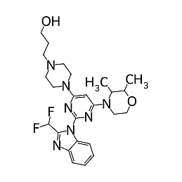 CC1OCCN(c2cc(N3CCN(CCCO)CC3)nc(-n3c(C(F)F)nc4ccccc43)n2)C1C